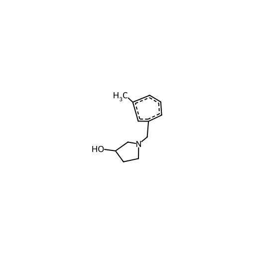 Cc1cccc(CN2CCC(O)C2)c1